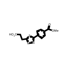 COC(=O)c1ccc(-c2nnc(CCC(=O)O)s2)cc1